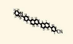 N#Cc1ccc(-c2ccc3cc(-c4ccc5cc(-c6ccc(-c7nc8ccccc8s7)cc6)ccc5c4)ccc3c2)cc1